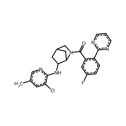 Cc1cnc(NC2CC3CC2N(C(=O)c2cc(F)ccc2-c2ncccn2)C3)c(Cl)c1